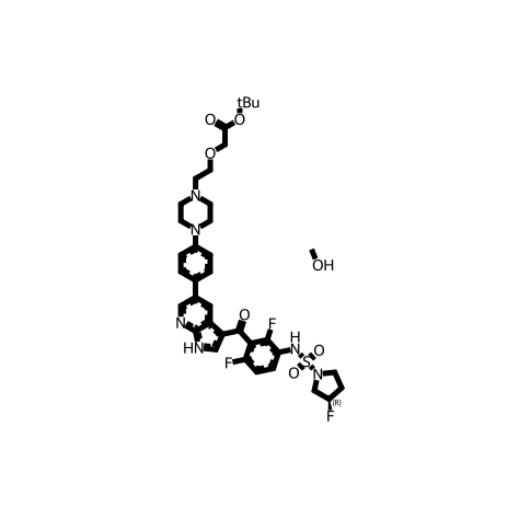 CC(C)(C)OC(=O)COCCN1CCN(c2ccc(-c3cnc4[nH]cc(C(=O)c5c(F)ccc(NS(=O)(=O)N6CC[C@@H](F)C6)c5F)c4c3)cc2)CC1.CO